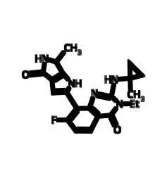 CCn1c(NC2(C)CC2)nc2c(-c3cc4c([nH]3)C(C)NC4=O)c(F)ccc2c1=O